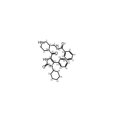 O=C(NC[C@@H]1CNCCN1C(=O)c1[nH]c(=O)n(C2CCCCC2)c1-c1ccccc1)c1ccccc1